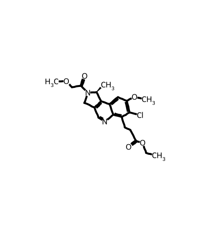 CCOC(=O)CCc1c(Cl)c(OC)cc2c3c(cnc12)CN(C(=O)COC)[C@H]3C